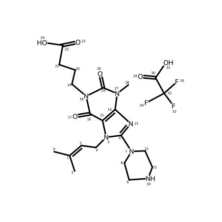 CC(C)=CCn1c(N2CCNCC2)nc2c1c(=O)n(CCCC(=O)O)c(=O)n2C.O=C(O)C(F)(F)F